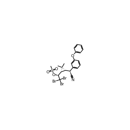 CC1(C)[C@@H]([C@H](OS(C)(=O)=O)C(Br)(Br)Br)[C@H]1[C@H](C#N)c1cccc(Oc2ccccc2)c1